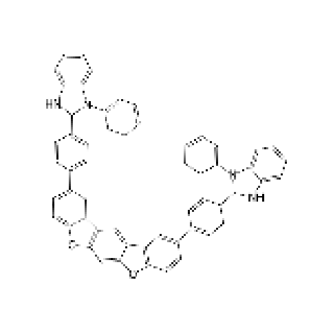 C1=CCCC(N2c3ccccc3NC2c2ccc(-c3ccc4oc5cc6oc7ccc(C8=CCC(C9Nc%10ccccc%10N9C9=CC=CCC9)C=C8)cc7c6cc5c4c3)cc2)=C1